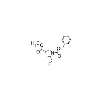 COC(=O)C1CC(CF)N(C(=O)OCc2ccccc2)C1